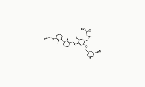 C#CCOc1cccc(-c2cccc(COc3cc(OCc4cncc(C#N)c4)c(CN(C)CC(=O)O)cc3I)c2C)c1C